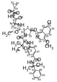 C=C[C@@H]1C[C@]1(NC(=O)[C@@H]1C[C@@H](Oc2ncc(OC)c3ccc(Cl)cc23)CN1C(=O)[C@H](Nc1ccc(C(=O)NC(C)(C)c2ccccc2)cc1)C(C)(C)C)C(=O)NS(=O)(=O)C1CC1